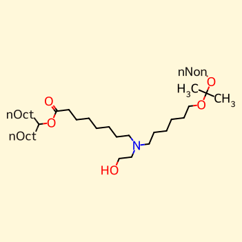 CCCCCCCCCOC(C)(C)OCCCCCCN(CCO)CCCCCCCC(=O)OC(CCCCCCCC)CCCCCCCC